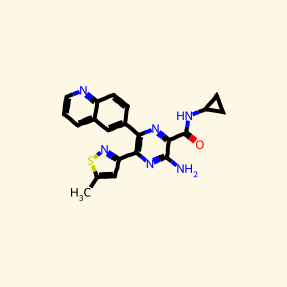 Cc1cc(-c2nc(N)c(C(=O)NC3CC3)nc2-c2ccc3ncccc3c2)ns1